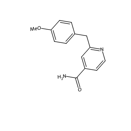 COc1ccc(Cc2cc(C(N)=O)ccn2)cc1